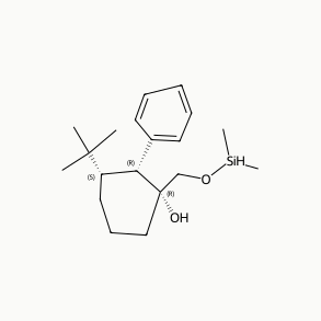 C[SiH](C)OC[C@@]1(O)CCC[C@H](C(C)(C)C)[C@@H]1c1ccccc1